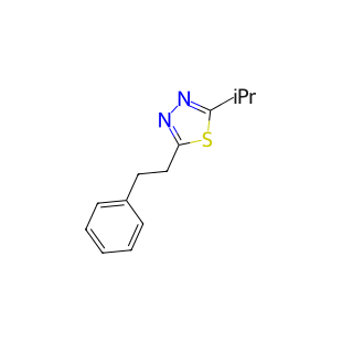 CC(C)c1nnc(CCc2ccccc2)s1